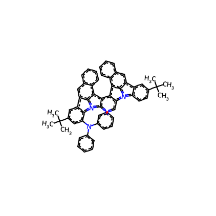 CC(C)(C)c1ccc2c(c1)c1cc3ccccc3c3c4c5c6c7ccccc7cc7c8cc(C(C)(C)C)cc(N(c9ccccc9)c9ccccc9)c8n(c5ncc4n2c13)c76